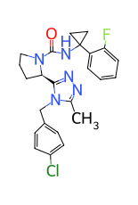 Cc1nnc([C@H]2CCCN2C(=O)NC2(c3ccccc3F)CC2)n1Cc1ccc(Cl)cc1